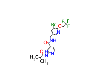 CC(C)C(=O)Nc1cc(C(=O)NCc2cnc(OCC(F)(F)F)c(Br)c2)ccn1